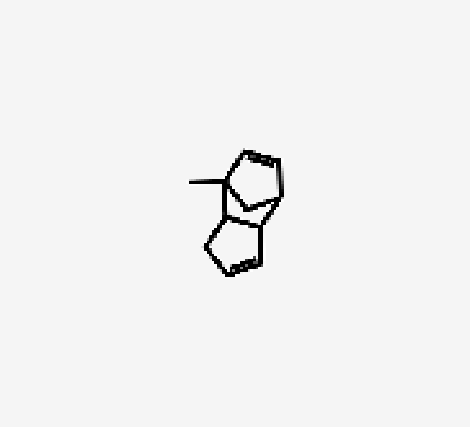 CC12C=CC(C1)C1C=CCC12